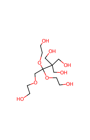 OCCOCC(OCCO)(OCCO)C(CO)(CO)CO